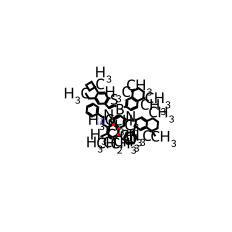 C=CC1=C(/C=C(/c2ccccc2)N2c3cc(C(C)(C)C)cc4c3B(c3cc5c(cc3N4C3C=C4C(=CC3(C)c3ccccc3)C(C)(C)CCC4C)C(C)(C)CCC5(C)C)c3sc4cc(C5(C)CCC5)c(CC)cc4c32)C(C)(C)CCC1(C)C